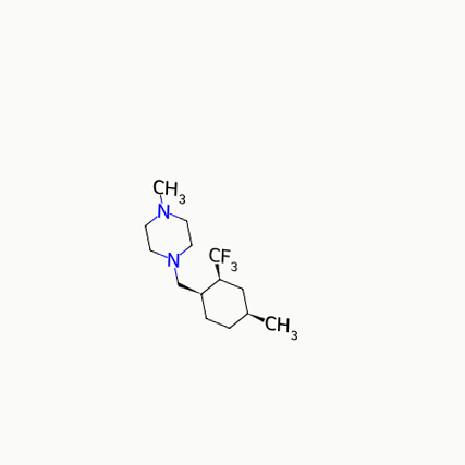 C[C@H]1CC[C@@H](CN2CCN(C)CC2)[C@@H](C(F)(F)F)C1